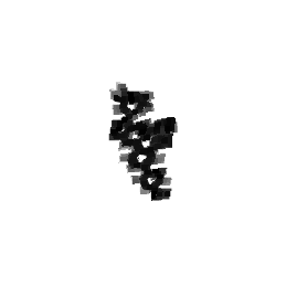 CC1(C)CC(n2nnc3cc(-c4ccc(-c5ccc(O)cn5)cc4O)nnc32)CC(C)(C)N1.Cl.Cl